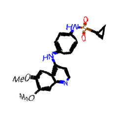 COc1cc2nccc(Nc3ccc(NS(=O)(=O)C4CC4)cc3)c2cc1OC